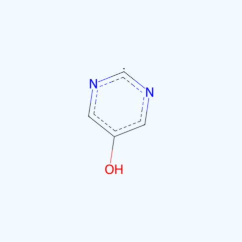 Oc1cn[c]nc1